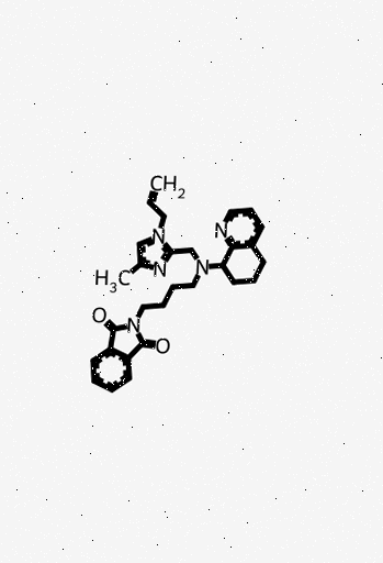 C=CCn1cc(C)nc1CN(CCCCN1C(=O)c2ccccc2C1=O)C1CCCc2cccnc21